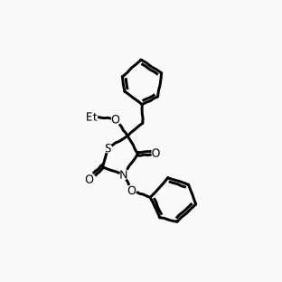 CCOC1(Cc2ccccc2)SC(=O)N(Oc2ccccc2)C1=O